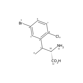 CC(c1cc(Br)ccc1Cl)[C@H](N)C(=O)O